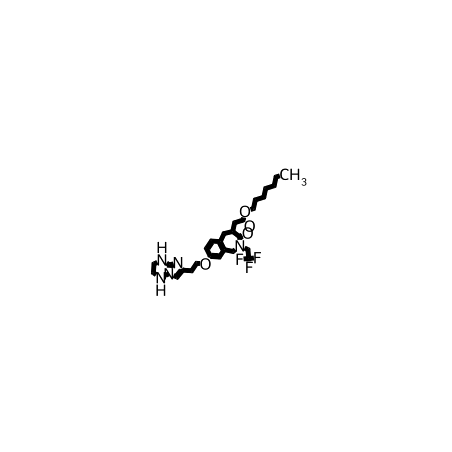 CCCCCCCOC(=O)CC1Cc2ccc(OCCc3cn4c(n3)NCCN4)cc2CN(CC(F)(F)F)C1=O